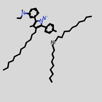 CCCCCCCCCCCCC1=C(c2ccc(C)cc2)[N+](=[N-])C(c2cccc(N(C)CC)c2)=C1C.CCCCCCCCC[CH2][Ni][CH2]CCCCCCCCC